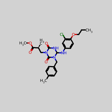 CCCOc1ccc(NC2NC(=O)N(C[C@H](C)C(=O)OC)C(=O)N2Cc2ccc(C)cc2)cc1Cl